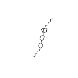 CCCCCCCC1CCC(C2CCC(c3ccc(CCCCCC)cn3)CC2)CC1